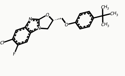 CC(C)(C)c1ccc(OC[C@@H]2Cn3c(nc4cc(Cl)c(F)cc43)O2)cc1